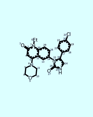 CCn1c(=O)cc(N2CCOCC2)c2cc(-n3c(-c4ccc(Cl)cc4)c[nH]c3=O)ccc21